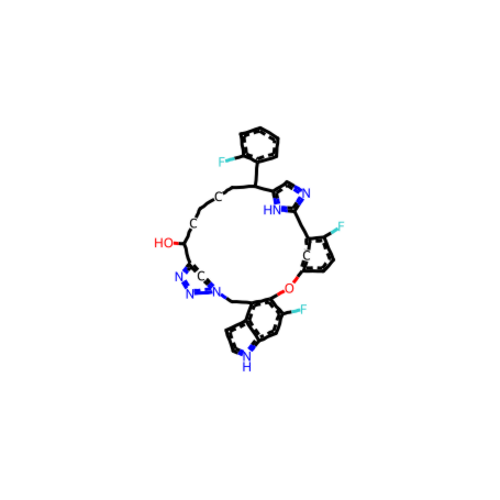 OC1CCCCC(c2ccccc2F)c2cnc([nH]2)-c2cc(ccc2F)Oc2c(F)cc3[nH]ccc3c2Cn2cc1nn2